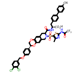 Cc1nc(NC(=O)C(F)(F)F)sc1S(=O)(=O)N1Cc2cc3c(cc2CC1C(=O)N[C@@H](Cc1ccc(-c2ccc(C#N)cc2)cc1)C(=O)O)OC[C@H](c1ccc(OCc2ccc(Cl)c(Cl)c2)cc1)O3